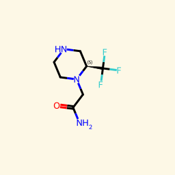 NC(=O)CN1CCNC[C@H]1C(F)(F)F